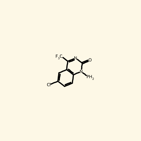 O=c1nc(C(F)(F)F)c2cc(Cl)ccc2n1P